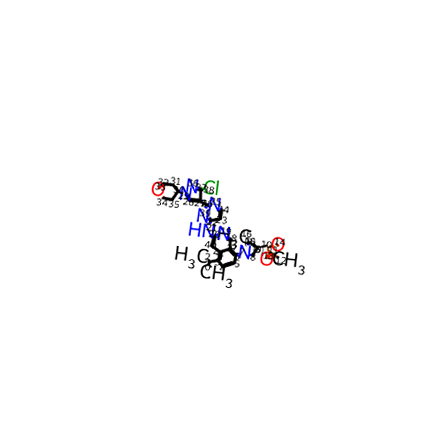 CC(C)c1ccc(N2C[C@H](CS(C)(=O)=O)[C@H]2C)c2cnc(Nc3ccnc(-c4cn(C5CCOCC5)nc4Cl)n3)cc12